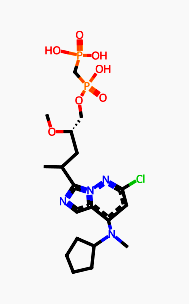 CO[C@H](COP(=O)(O)CP(=O)(O)O)CC(C)c1ncc2c(N(C)C3CCCC3)cc(Cl)nn12